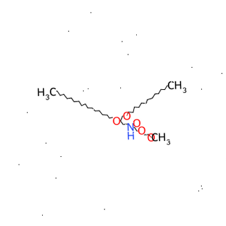 CCCCCCCCCCCCCCCCCCOC(CCNC(=O)COCCOC)COCCCCCCCCCCCCCC